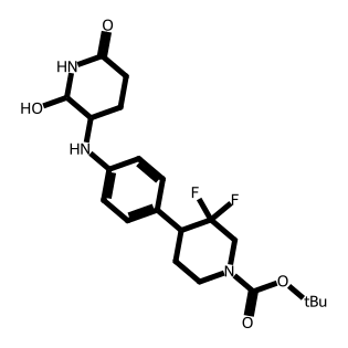 CC(C)(C)OC(=O)N1CCC(c2ccc(NC3CCC(=O)NC3O)cc2)C(F)(F)C1